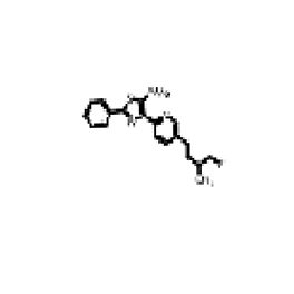 CSc1sc(-c2ccccc2)nc1-c1ccc(CCC(C)CF)cn1